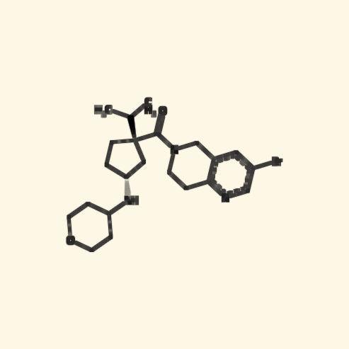 CC(C)[C@]1(C(=O)N2CCc3ncc(Br)cc3C2)CC[C@@H](NC2CCOCC2)C1